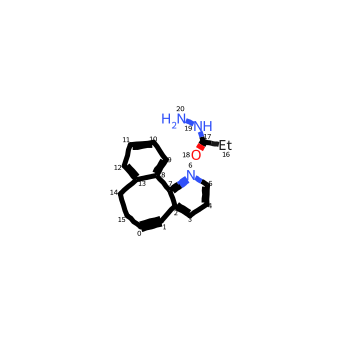 C1#Cc2cccnc2-c2ccccc2CC1.CCC(=O)NN